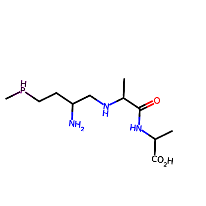 CPCCC(N)CNC(C)C(=O)NC(C)C(=O)O